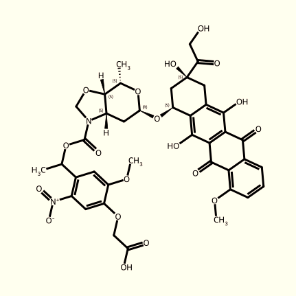 COc1cc(C(C)OC(=O)N2CO[C@@H]3[C@H](C)O[C@@H](O[C@H]4C[C@](O)(C(=O)CO)Cc5c(O)c6c(c(O)c54)C(=O)c4c(OC)cccc4C6=O)C[C@@H]32)c([N+](=O)[O-])cc1OCC(=O)O